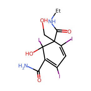 CCNC(=O)C1(CO)C(I)=CC(I)=C(C(N)=O)C1(O)I